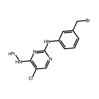 CCCNc1nc(Nc2cccc(CBr)c2)ncc1Cl